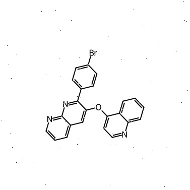 Brc1ccc(-c2nc3ncccc3cc2Oc2ccnc3ccccc23)cc1